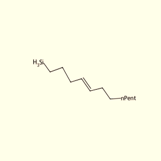 CCCCCCCC=CCCC[SiH3]